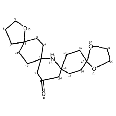 O=C1CC2(CCC3(CCCO3)CC2)NC2(CCC3(CC2)OCCO3)C1